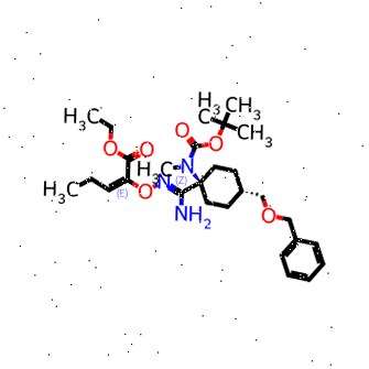 CC/C=C(/O/N=C(\N)[C@]1(N(C)C(=O)OC(C)(C)C)CC[C@H](COCc2ccccc2)CC1)C(=O)OCC